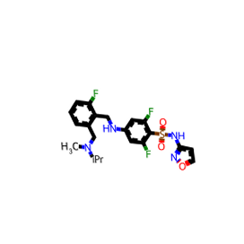 CC(C)N(C)Cc1cccc(F)c1CNc1cc(F)c(S(=O)(=O)Nc2ccon2)c(F)c1